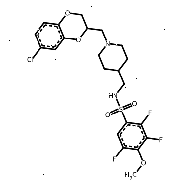 COc1c(F)cc(S(=O)(=O)NCC2CCN(CC3COc4ccc(Cl)cc4O3)CC2)c(F)c1F